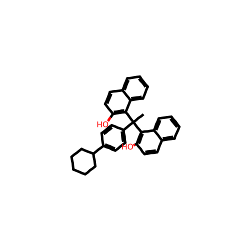 CC(c1ccc(C2CCCCC2)cc1)(c1c(O)ccc2ccccc12)c1c(O)ccc2ccccc12